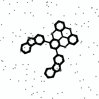 c1cc2c3c(c1)Oc1c(-c4ccc5oc6ccccc6c5c4)cc(-c4ccc5oc6ccccc6c5c4)c4c1B3c1c(cccc1O4)O2